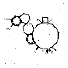 C[C@H]1CC[C@@H]2CC[C@H]2CN2C[C@@]3(CCCc4cc(Cl)c(O)cc43)COc3ccc(cc32)C(=O)NS(=O)(=O)[C@H](C)CC1